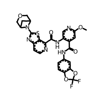 COc1cc(C(=O)Nc2ccc3c(c2)OC(F)(F)O3)c(NC(=O)c2nccc3nc(N4C5COCC4C5)sc23)cn1